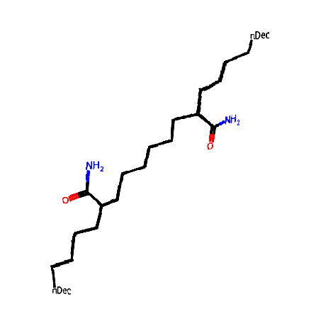 CCCCCCCCCCCCCCC(CCCCCCC(CCCCCCCCCCCCCC)C(N)=O)C(N)=O